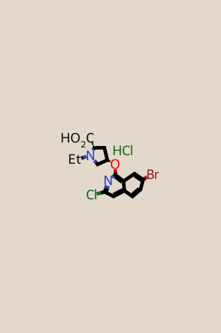 CCN1C[C@H](Oc2nc(Cl)cc3ccc(Br)cc23)C[C@H]1C(=O)O.Cl